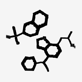 CC(N)Cc1ccc(C(C)c2ccccc2)c2ccoc12.O=S(=O)(O)c1ccc2ccccc2c1